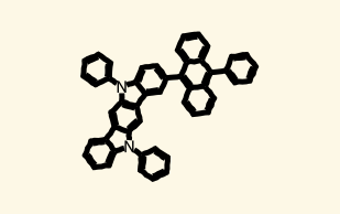 c1ccc(-c2c3ccccc3c(-c3ccc4c(c3)c3cc5c(cc3n4-c3ccccc3)c3ccccc3n5-c3ccccc3)c3ccccc23)cc1